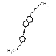 CCCCCCc1ccc2cc(C#Cc3ccc(CCCC)cc3)ccc2c1